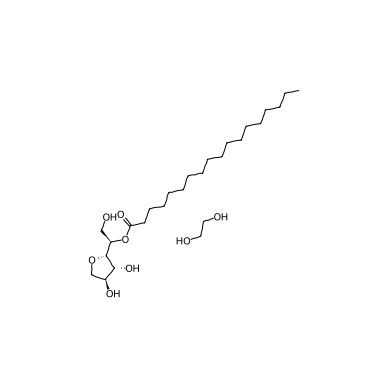 CCCCCCCCCCCCCCCCCC(=O)O[C@H](CO)[C@H]1OC[C@H](O)[C@H]1O.OCCO